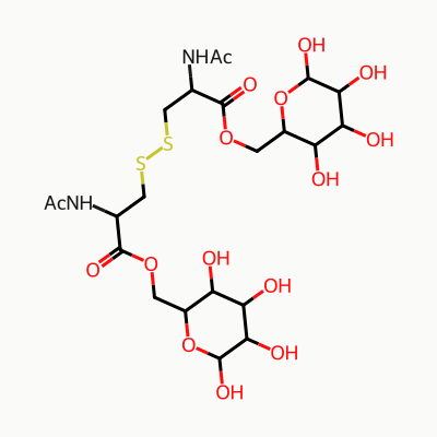 CC(=O)NC(CSSCC(NC(C)=O)C(=O)OCC1OC(O)C(O)C(O)C1O)C(=O)OCC1OC(O)C(O)C(O)C1O